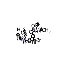 C=CC(=O)OCC/C(=N\OC(=O)n1cccc1)C(=O)c1ccc2c(c1)-c1cc(C(=O)/C(CCOC(=O)C=C)=N/OC(=O)n3cccc3)ccc1C2(CCC)CCC